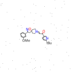 COc1cccc(C2=NOC3(CCN(C=CC(=O)c4ccc(C(C)(C)C)nc4)CC3)C2)c1